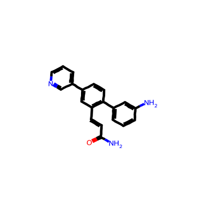 NC(=O)/C=C/c1cc(-c2cccnc2)ccc1-c1cccc(N)c1